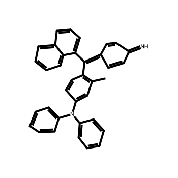 Cc1cc(N(c2ccccc2)c2ccccc2)ccc1C(=C1C=CC(=N)C=C1)c1cccc2ccccc12